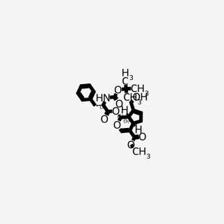 COC(=O)C1=CO[C@@H](OC(=O)[C@H](Cc2ccccc2)NC(=O)OC(C)(C)C)[C@@H]2C(CO)=CC[C@H]12